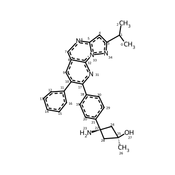 CC(C)c1cc2ncc3cc(-c4ccccc4)c(-c4ccc([C@]5(N)C[C@@](C)(O)C5)cc4)nc3n2n1